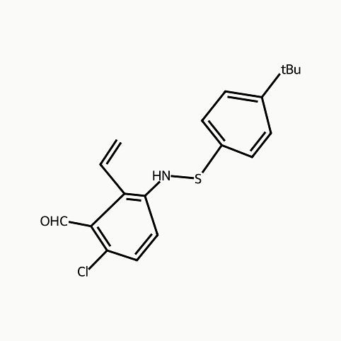 C=Cc1c(NSc2ccc(C(C)(C)C)cc2)ccc(Cl)c1C=O